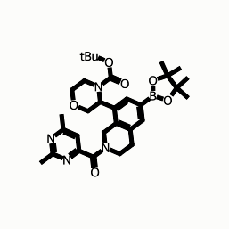 Cc1cc(C(=O)N2CCc3cc(B4OC(C)(C)C(C)(C)O4)cc(C4COCCN4C(=O)OC(C)(C)C)c3C2)nc(C)n1